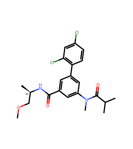 COC[C@@H](C)NC(=O)c1cc(-c2ccc(Cl)cc2Cl)cc(N(C)C(=O)C(C)C)c1